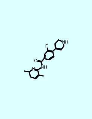 CC1=CCC(C)N=C1NC(=O)c1ccc(C2=CCNCC2)c(F)c1